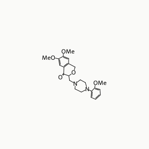 COc1cc2c(cc1OC)C(=O)C(CN1CCN(c3ccccc3OC)CC1)OC2